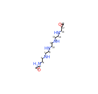 C1CO1.NCCNCCNCCNCCNCC1CO1